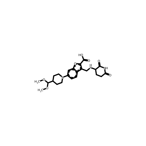 COC(OC)C1CCN(c2ccc3c(CNC4CCC(=O)NC4=O)c(C(=O)O)oc3c2)CC1